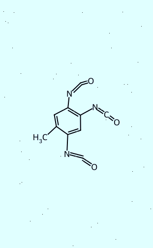 Cc1cc(N=C=O)c(N=C=O)cc1N=C=O